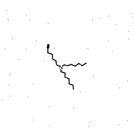 C#CCCCCCN(CCCCCCC)CCCCCCC